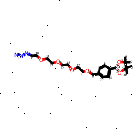 CC1(C)OB(c2ccc(COCCOCCOCCOCCN=[N+]=[N-])cc2)OC1(C)C